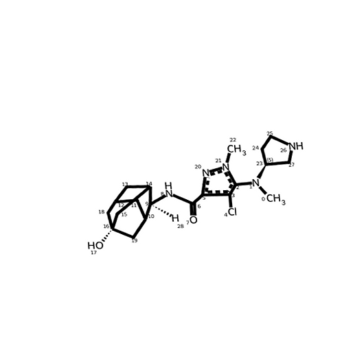 CN(c1c(Cl)c(C(=O)N[C@H]2C3CC4CC2C[C@](O)(C4)C3)nn1C)[C@H]1CCNC1